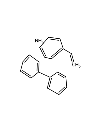 C=Cc1ccccc1.N.c1ccc(-c2ccccc2)cc1